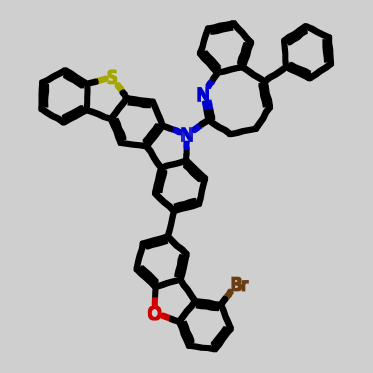 Brc1cccc2oc3ccc(-c4ccc5c(c4)c4cc6c(cc4n5/C4=N/c5ccccc5/C(c5ccccc5)=C\CC4)sc4ccccc46)cc3c12